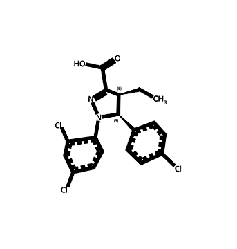 CC[C@@H]1C(C(=O)O)=NN(c2ccc(Cl)cc2Cl)[C@@H]1c1ccc(Cl)cc1